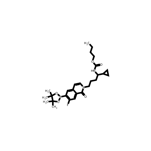 CCCCOC(=O)NC(CCCn1ccc2cc(B3OC(C)(C)C(C)(C)O3)c(F)cc2c1=O)C1CC1